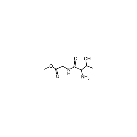 COC(=O)CNC(=O)C(N)C(C)O